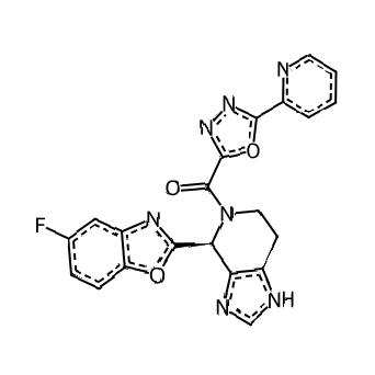 O=C(c1nnc(-c2ccccn2)o1)N1CCc2[nH]cnc2[C@H]1c1nc2cc(F)ccc2o1